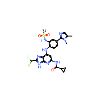 CCS(=O)(=O)Nc1cc(-c2ncc(C)n2C)ccc1Nc1cc(NC(=O)C2CC2)nc2[nH]c(C(F)F)nc12